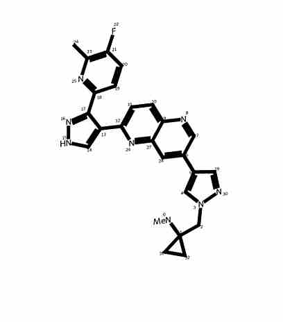 CNC1(Cn2cc(-c3cnc4ccc(-c5c[nH]nc5-c5ccc(F)c(C)n5)nc4c3)cn2)CC1